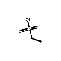 O=S(=O)(O)[C]F